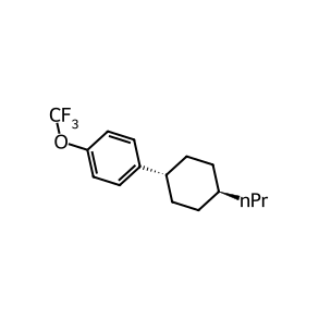 CCC[C@H]1CC[C@H](c2ccc(OC(F)(F)F)cc2)CC1